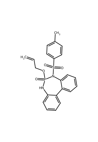 C=CCOP1(=O)Nc2ccccc2-c2ccccc2N1S(=O)(=O)c1ccc(C)cc1